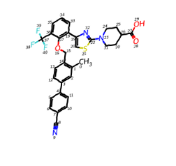 Cc1cc(-c2ccc(C#N)cc2)ccc1COc1c(-c2csc(N3CCC(C(=O)O)CC3)n2)cccc1C(F)(F)F